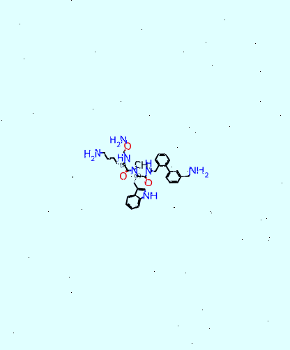 CN(C(=O)[C@H](CCCCN)NCON)[C@@H](Cc1c[nH]c2ccccc12)C(=O)NCc1ccccc1-c1cccc(CN)c1